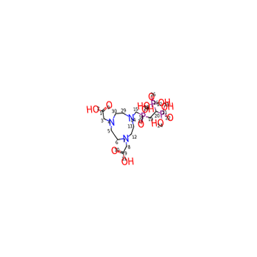 O=C(O)CN1CCN(CC(=O)O)CCN(CP(=O)(O)CC(P(=O)(O)O)P(=O)(O)O)CC1